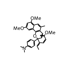 C=C(/C=C\C(=C/C)C1(c2ccc(N(C)C)cc2)C=Cc2c(C)cc3c(OC)cc(OC)cc3c2O1)OC